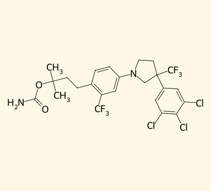 CC(C)(CCc1ccc(N2CCC(c3cc(Cl)c(Cl)c(Cl)c3)(C(F)(F)F)C2)cc1C(F)(F)F)OC(N)=O